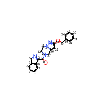 O=C(C1=NCc2ccccc21)N1CCn2nc(OCc3ccccc3)cc2C1